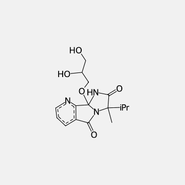 CC(C)C1(C)C(=O)NC2(OCC(O)CO)c3ncccc3C(=O)N21